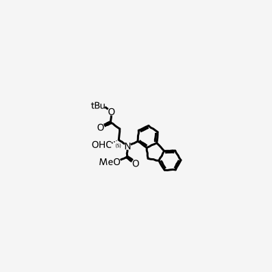 COC(=O)N(c1cccc2c1Cc1ccccc1-2)[C@H](C=O)CC(=O)OC(C)(C)C